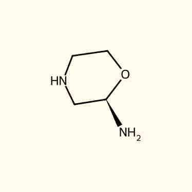 N[C@H]1CNCCO1